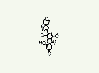 COc1cc(C2=NOC3(CCOCC3)C2)c(Cl)c2c1C(=O)[C@@]1(O2)C(O)=CC(=O)C[C@H]1C